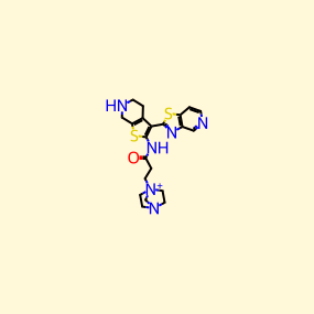 O=C(CC[N+]12CCN(CC1)C2)Nc1sc2c(c1-c1nc3cnccc3s1)CCNC2